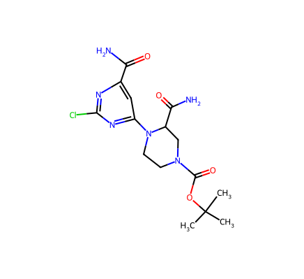 CC(C)(C)OC(=O)N1CCN(c2cc(C(N)=O)nc(Cl)n2)C(C(N)=O)C1